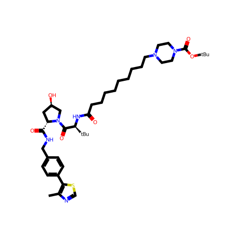 Cc1ncsc1-c1ccc(CNC(=O)[C@@H]2C[C@@H](O)CN2C(=O)[C@@H](NC(=O)CCCCCCCCCN2CCN(C(=O)OC(C)(C)C)CC2)C(C)(C)C)cc1